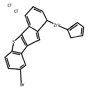 Brc1ccc2sc3c(c2c1)C=C1C3=CC=C[CH]1[Zr+2][C]1=CC=CC1.[Cl-].[Cl-]